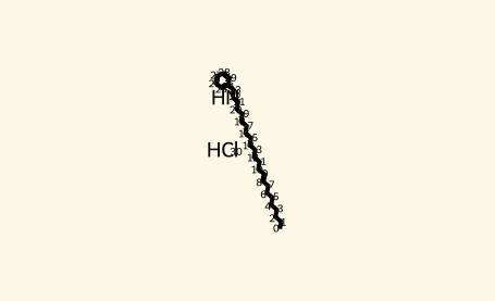 CCCCCCCCC=CCCCCCCCCCCCCNCc1ccccc1.Cl